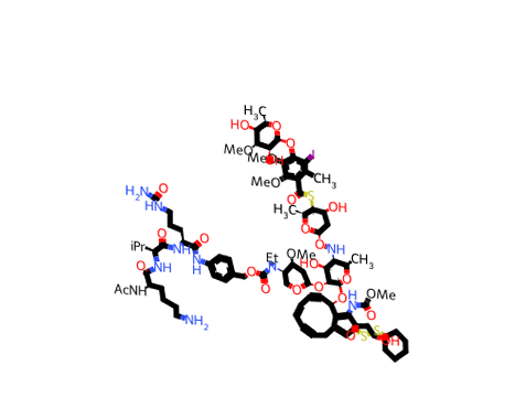 CCN(C(=O)OCc1ccc(NC(=O)[C@H](CCCNC(N)=O)NC(=O)[C@@H](NC(=O)[C@H](CCCCN)NC(C)=O)C(C)C)cc1)[C@H]1CO[C@@H](O[C@H]2[C@H](O[C@H]3C#C/C=C\C#CCC(=C/CSSC4CCCCC4)/C3=C(/NC(=O)OC)C(=O)CCO)O[C@H](C)[C@@H](NO[C@H]3C[C@H](O)[C@H](SC(=O)c4c(C)c(I)c(O[C@@H]5O[C@@H](C)[C@H](O)[C@@H](OC)[C@H]5O)c(OC)c4OC)[C@@H](C)O3)[C@@H]2O)C[C@@H]1OC